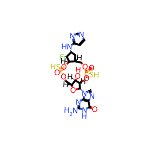 Nc1nc2c(ncn2[C@@H]2O[C@@H]3CO[P@@](=O)(S)O[C@@H]4[C@@H](CO[P@](=O)(S)O[C@@H]2[C@@H]3O)C[C@@H](Nc2ccncn2)[C@@H]4F)c(=O)[nH]1